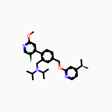 [CH2][C@H](C)c1ccnc(OCc2ccc(-c3cc(OC)ncc3F)c(CN(C(C)C)C(C)C)c2)c1